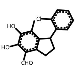 Cc1c(O)c(O)c(C=O)c2c1C(c1ccccc1Cl)CC2